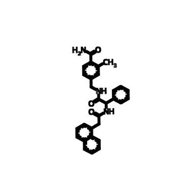 Cc1cc(CNC(=O)C(NC(=O)Cc2cccc3ccccc23)c2ccccc2)ccc1C(N)=O